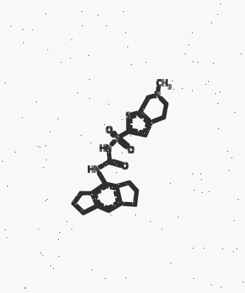 CN1CCc2cc(S(=O)(=O)NC(=O)Nc3c4c(cc5c3CCC5)CCC4)sc2C1